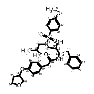 COc1ccc(S(=O)(=O)N(CC(C)C)C[C@@H](O)[C@H](Cc2ccccc2)NC(=O)Cc2ccc(OC3CCOC3)cc2)cc1